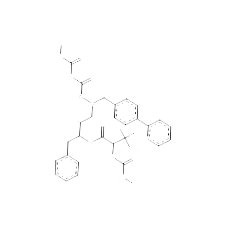 COC(=O)NC(=O)NN(CCC(Cc1ccccc1)NC(=O)C(NC(=O)OC)C(C)(C)C)Cc1ccc(-c2ccccn2)cc1